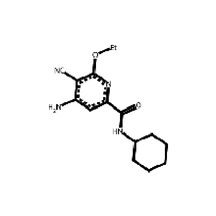 CCOc1nc(C(=O)NC2CCCCC2)cc(N)c1C#N